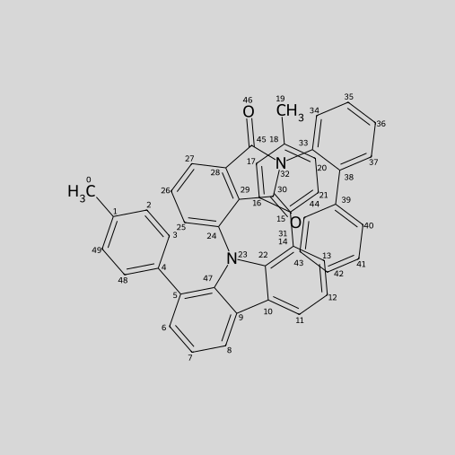 Cc1ccc(-c2cccc3c4cccc(-c5ccc(C)cc5)c4n(-c4cccc5c4C(=O)N(c4ccccc4-c4ccccc4)C5=O)c23)cc1